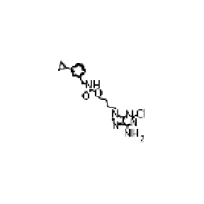 Nc1nc(Cl)nc2c1ncn2CCCCOC(=O)NCc1cccc(C2CC2)c1